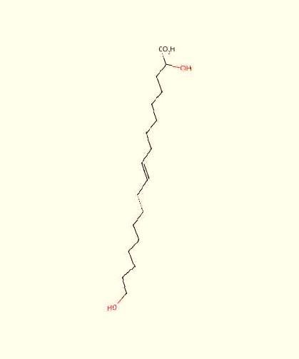 O=C(O)C(O)CCCCCCC=CCCCCCCCCO